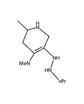 CCCNNC1=C(NC)CC(C)NC1